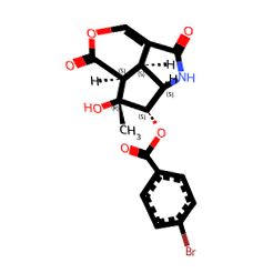 C[C@]1(O)[C@@H](OC(=O)c2ccc(Br)cc2)[C@H]2NC(=O)C3=COC(=O)[C@H]1[C@@H]32